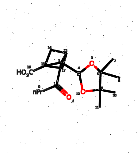 CCCC(=O)C1(B2OC(C)(C)C(C)(C)O2)C2CC1(C(=O)O)C2